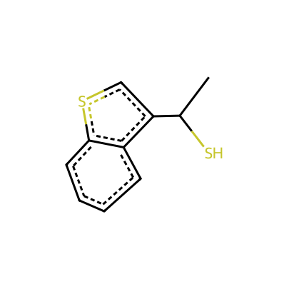 CC(S)c1csc2ccccc12